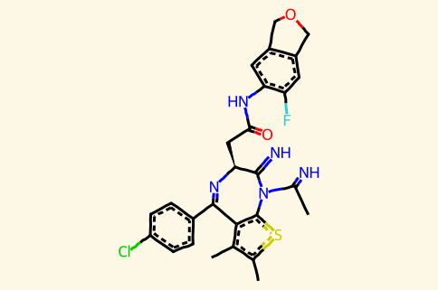 CC(=N)N1C(=N)[C@H](CC(=O)Nc2cc3c(cc2F)COC3)N=C(c2ccc(Cl)cc2)c2c1sc(C)c2C